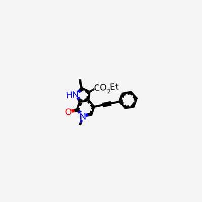 CCOC(=O)c1c(C)[nH]c2c(=O)n(C)cc(C#Cc3ccccc3)c12